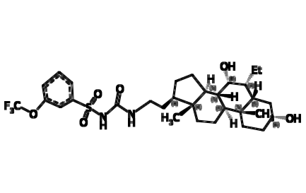 CC[C@H]1[C@@H](O)[C@@H]2[C@H](CC[C@]3(C)[C@@H](CCNC(=O)NS(=O)(=O)c4cccc(OC(F)(F)F)c4)CC[C@@H]23)[C@@]2(C)CC[C@@H](O)C[C@@H]12